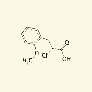 COc1ccccc1C[C@@H](Cl)C(=O)O